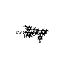 C#Cc1cccc(C2C(C(=O)OC)=C(C)NC(C)=C2C(=O)OC(C)N2CCN(C(c3ccc(F)cc3)c3ccc(F)cc3)CC2)c1